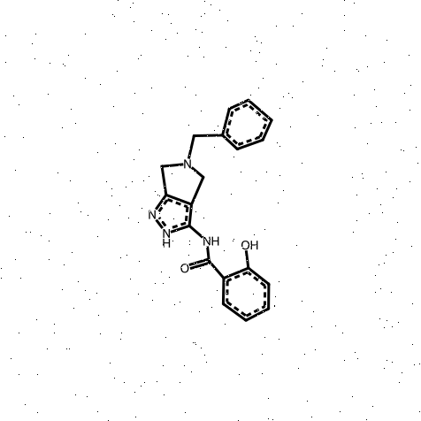 O=C(Nc1[nH]nc2c1CN(Cc1ccccc1)C2)c1ccccc1O